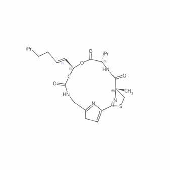 CC(C)CC/C=C/[C@@H]1CC(=O)NCC2=NC(=CC2)C2=N[C@@](C)(CS2)C(=O)N[C@@H](C(C)C)C(=O)O1